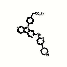 CCOC(=O)Cc1ccc(-n2c3cnccc3c3cnc(Nc4ccc(N5CCNCC5)cn4)cc32)cc1